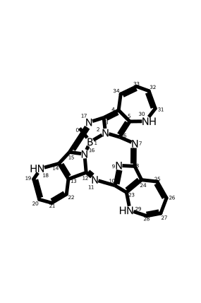 CB1n2c3c4c(c2/N=C2N=C(/N=c5/c6c(c(n51)=N3)NC=CC=C6)C1=C\2C=CC=CN1)NC=CC=C4